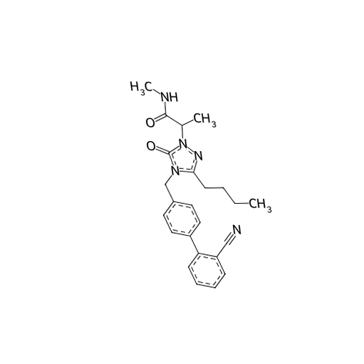 CCCCc1nn(C(C)C(=O)NC)c(=O)n1Cc1ccc(-c2ccccc2C#N)cc1